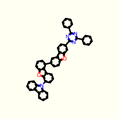 c1ccc(-c2nc(-c3ccccc3)nc(-c3ccc4c(c3)oc3ccc(-c5cccc6oc7c(-n8c9ccccc9c9ccccc98)cccc7c56)cc34)n2)cc1